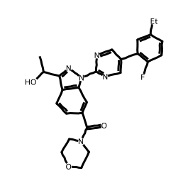 CCc1ccc(F)c(-c2cnc(-n3nc(C(C)O)c4ccc(C(=O)N5CCOCC5)cc43)nc2)c1